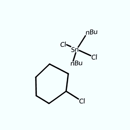 CCC[CH2][Sn]([Cl])([Cl])[CH2]CCC.ClC1CCCCC1